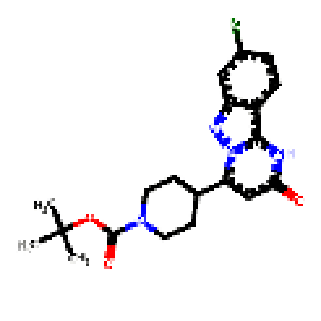 CC(C)(C)OC(=O)N1CCC(c2cc(=O)[nH]c3c4ccc(Br)cc4nn23)CC1